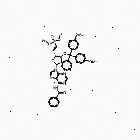 CCOP(=O)(/C=C/[C@H]1O[C@@H](n2cnc3c(NC(=O)c4ccccc4)ncnc32)C[C@@H]1OC(c1ccccc1)(c1ccc(OC)cc1)c1ccc(OC)cc1)OCC